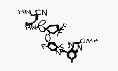 C/C=C(\C=C(\C#N)C=N)NC(=O)O[C@H]1CCC(F)(F)C[C@H]1Oc1cc2sc(-c3cc(C)cc4nc(OC)cnc34)nc2cc1F